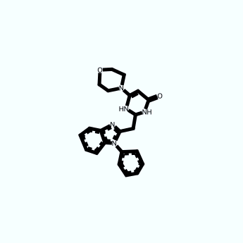 O=C1C=C(N2CCOCC2)NC(Cc2nc3ccccc3n2-c2ccccc2)N1